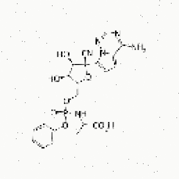 CC(N[P@](=O)(OC[C@H]1O[C@@](C#N)(c2ccc3c(N)ncnn23)[C@H](O)[C@@H]1O)Oc1ccccc1)C(=O)O